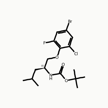 CC(C)C[C@@H](COc1c(F)cc(Br)cc1Cl)NC(=O)OC(C)(C)C